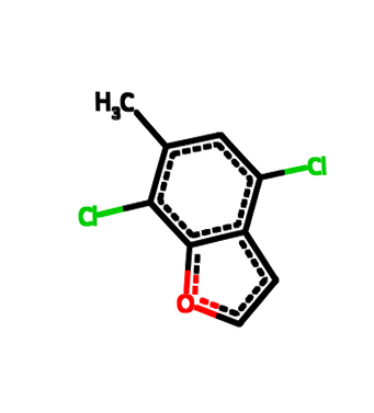 Cc1cc(Cl)c2ccoc2c1Cl